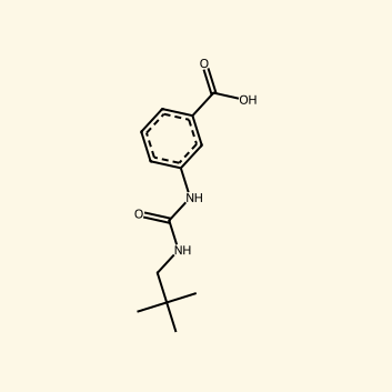 CC(C)(C)CNC(=O)Nc1cccc(C(=O)O)c1